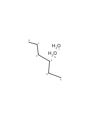 CCCCCC.O.O